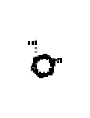 Cl.Cl.Cl.c1ccncc1